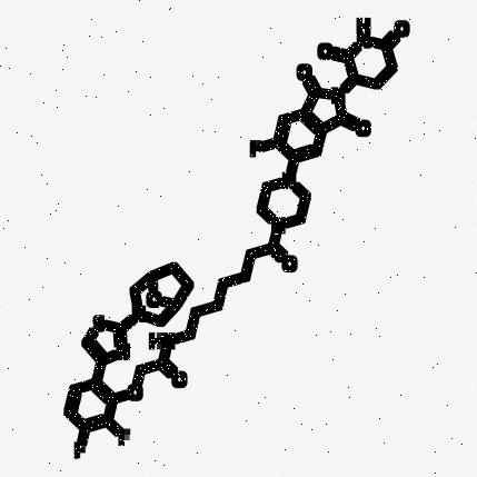 O=C(COc1c(-c2csc(N3CC4CCC(C3)O4)n2)ccc(F)c1F)NCCCCCCC(=O)N1CCN(c2cc3c(cc2F)C(=O)N(C2CCC(=O)NC2=O)C3=O)CC1